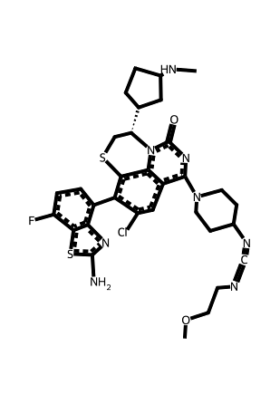 CNC1CCC([C@H]2CSc3c(-c4ccc(F)c5sc(N)nc45)c(Cl)cc4c(N5CCC(N=C=NCCOC)CC5)nc(=O)n2c34)C1